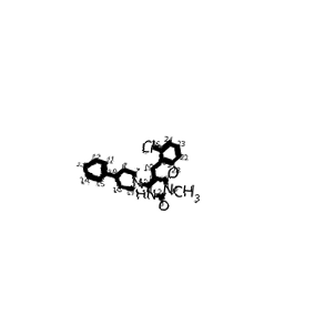 Cn1c(=O)[nH]c(N2CCC(c3ccccc3)CC2)c(Cc2ccccc2Cl)c1=O